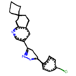 Clc1ccc(C2=NN=C(c3cnc4c(c3)CCC3(CCC3)C4)C2)cc1